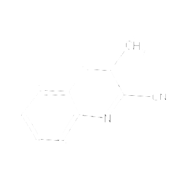 CC1Cc2ccccc2N=C1C#N